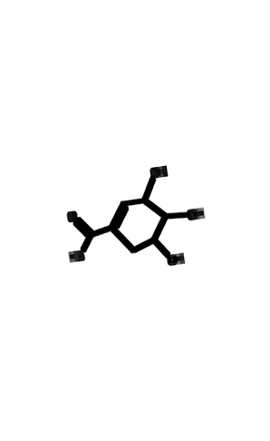 O=C(S)C1=CC(O)C(O)C(O)C1